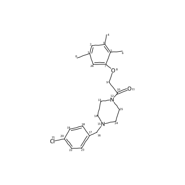 Cc1cc(C)c(C)c(OCC(=O)N2CCN(Cc3ccc(Cl)cc3)CC2)c1